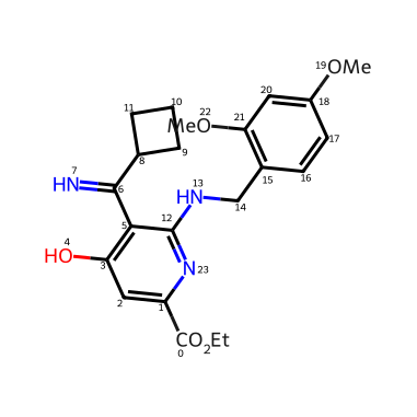 CCOC(=O)c1cc(O)c(C(=N)C2CCC2)c(NCc2ccc(OC)cc2OC)n1